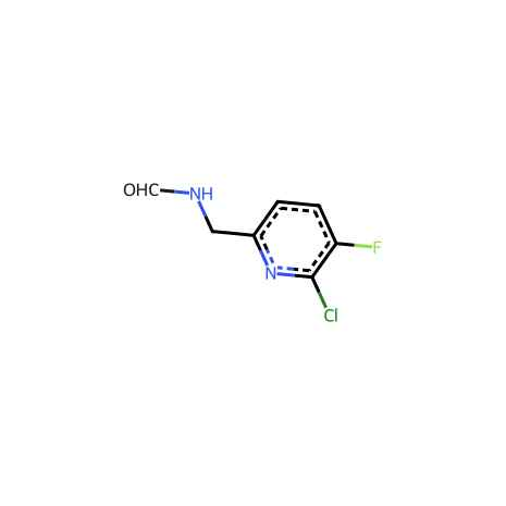 O=CNCc1ccc(F)c(Cl)n1